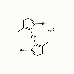 CC1=[C]([Hf+2][C]2=C(C)CC=C2C(C)C)C(C(C)C)=CC1.[Cl-].[Cl-]